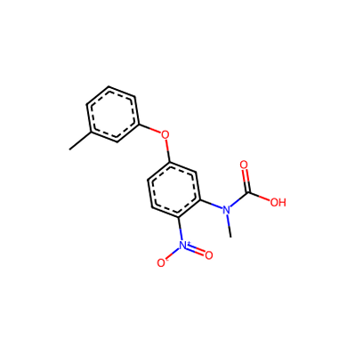 Cc1cccc(Oc2ccc([N+](=O)[O-])c(N(C)C(=O)O)c2)c1